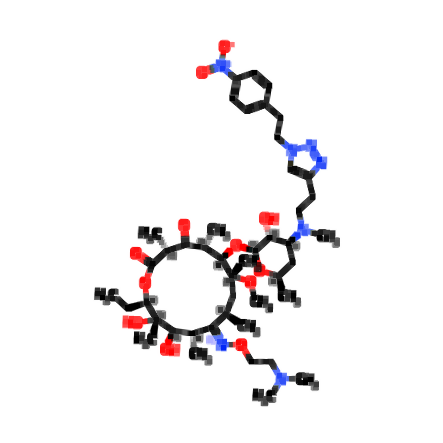 CC[C@H]1OC(=O)[C@H](C)C(=O)[C@H](C)[C@@H](O[C@@H]2O[C@H](C)C[C@H](N(C)CCc3cn(CCc4ccc([N+](=O)[O-])cc4)nn3)[C@H]2O)[C@](C)(OC)C[C@@H](C)/C(=N\OCCN(C)C)[C@H](C)[C@@H](O)[C@]1(C)O